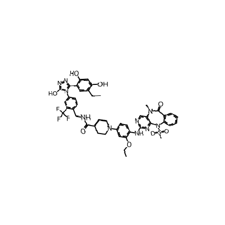 CCOc1cc(N2CCC(C(=O)NCc3ccc(-n4c(O)nnc4-c4cc(CC)c(O)cc4O)cc3C(F)(F)F)CC2)ccc1Nc1ncc2c(n1)N(S(C)(=O)=O)c1ccccc1C(=O)N2C